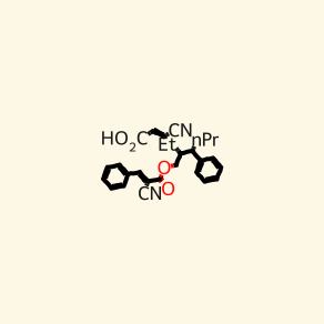 CCCC(c1ccccc1)C(CC)COC(=O)C(C#N)=Cc1ccccc1.N#CC=CC(=O)O